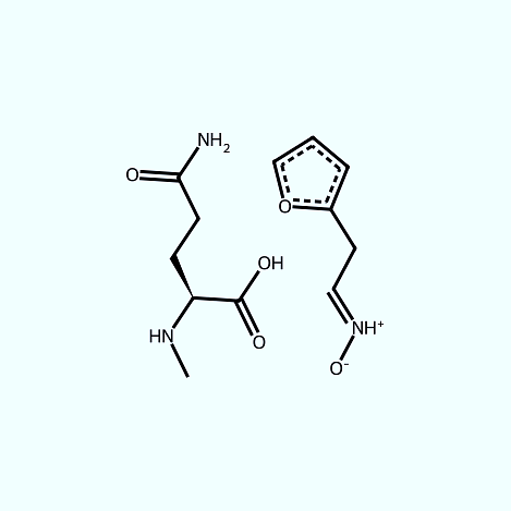 CN[C@@H](CCC(N)=O)C(=O)O.[O-][NH+]=CCc1ccco1